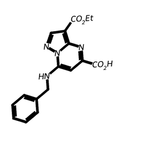 CCOC(=O)c1cnn2c(NCc3ccccc3)cc(C(=O)O)nc12